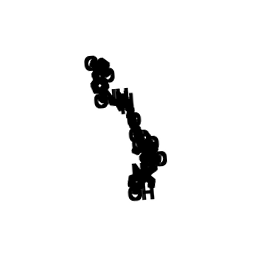 CCc1c2c(nc3ccc(O)cc13)-c1cc3c(c(=O)n1C2)COC(=O)[C@@]3(CC)OC(=O)OCCOCCn1cc(CNC(=O)C2CCC(CN3C(=O)C=CC3=O)CC2)nn1